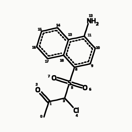 CC(=O)C(Cl)S(=O)(=O)c1ccc(N)c2ccccc12